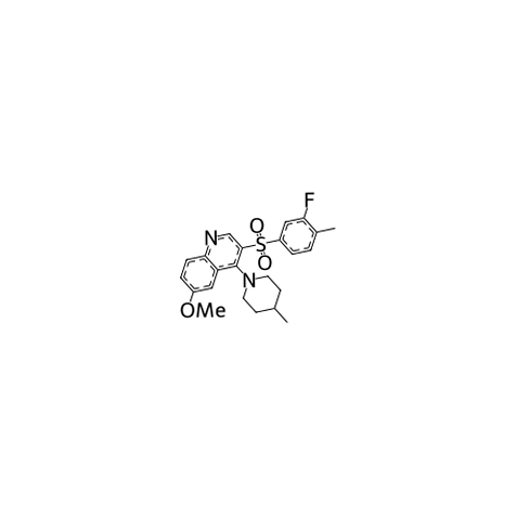 COc1ccc2ncc(S(=O)(=O)c3ccc(C)c(F)c3)c(N3CCC(C)CC3)c2c1